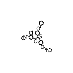 O=C(c1ccc(CN2CCCC2)c(Cl)c1)c1c(-c2ccc(OCCN3CCCC3)cc2)sc2cc(OCc3ccccc3)ccc12